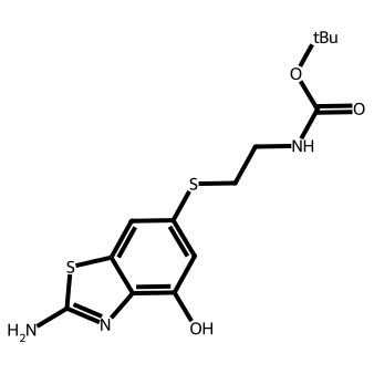 CC(C)(C)OC(=O)NCCSc1cc(O)c2nc(N)sc2c1